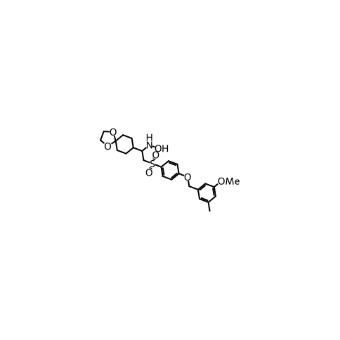 COc1cc(C)cc(COc2ccc(S(=O)(=O)CC(NO)C3CCC4(CC3)OCCO4)cc2)c1